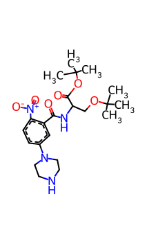 CC(C)(C)OCC(NC(=O)c1cc(N2CCNCC2)ccc1[N+](=O)[O-])C(=O)OC(C)(C)C